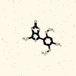 COc1cc(-c2sc(C)c3sc(=O)sc23)c(OC)cc1C